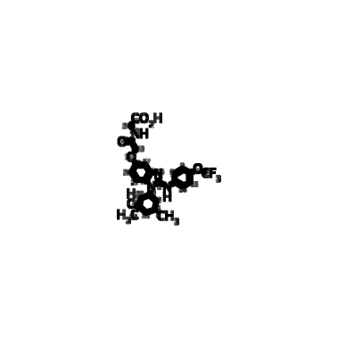 C[C@H]1CC(n2c(Nc3ccc(OC(F)(F)F)cc3)nc3cc(OCC(=O)NCC(=O)O)ccc32)CC(C)(C)C1